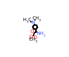 CCN(CC)c1ccc2c(N)c(C(=O)OC)oc2c1